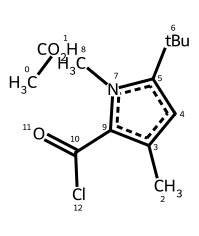 CC(=O)O.Cc1cc(C(C)(C)C)n(C)c1C(=O)Cl